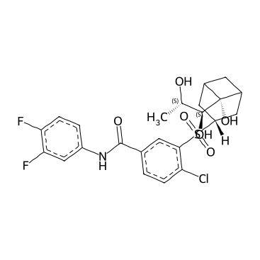 C[C@H](O)[C@H](O)[C@]1(O)C2CC1C[C@@H](S(=O)(=O)c1cc(C(=O)Nc3ccc(F)c(F)c3)ccc1Cl)C2